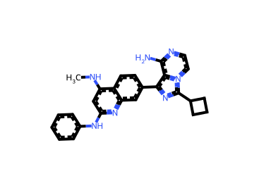 CNc1cc(Nc2ccccc2)nc2cc(-c3nc(C4CCC4)n4ccnc(N)c34)ccc12